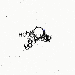 C[C@@H]1CC/C=C\[C@@H]2C[C@@]2(C(=O)NS(=O)(=O)C2(C)CC2)NC(=O)[C@@H]2C[C@@H](Oc3nccc4c5c(ccc34)CCCO5)CN2C(=O)[C@@H](NC(=O)O)[C@H](C)C1